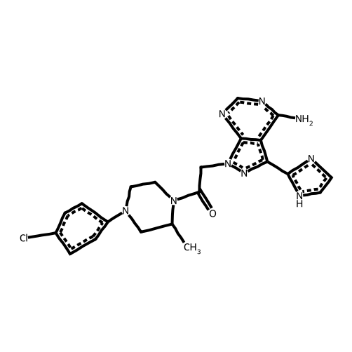 CC1CN(c2ccc(Cl)cc2)CCN1C(=O)Cn1nc(-c2ncc[nH]2)c2c(N)ncnc21